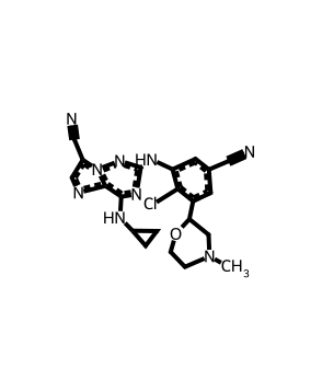 CN1CCOC(c2cc(C#N)cc(Nc3nc(NC4CC4)c4ncc(C#N)n4n3)c2Cl)C1